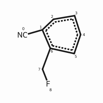 N#Cc1ccccc1CF